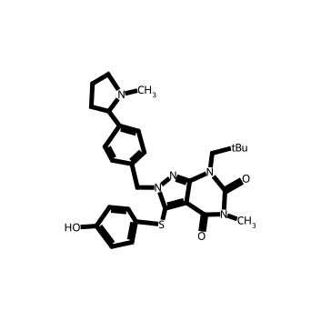 CN1CCCC1c1ccc(Cn2nc3c(c2Sc2ccc(O)cc2)c(=O)n(C)c(=O)n3CC(C)(C)C)cc1